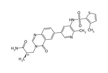 Cc1ccsc1S(=O)(=O)Nc1cc(-c2ccc3ncn(C[C@@H](C)C(N)=O)c(=O)c3c2)cnc1C